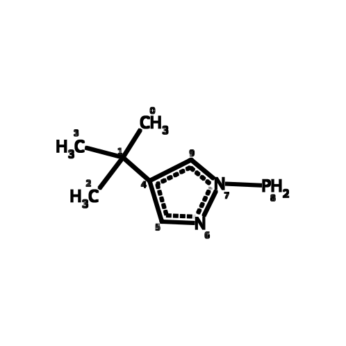 CC(C)(C)c1cnn(P)c1